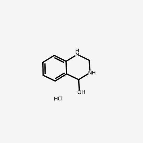 Cl.OC1NCNc2ccccc21